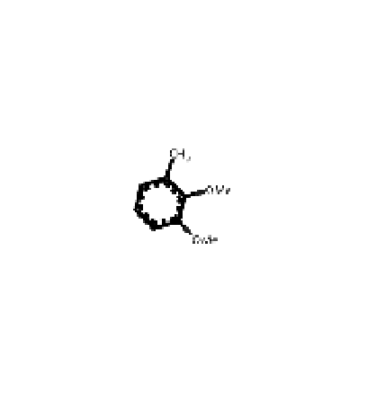 COc1[c]ccc(C)c1OC